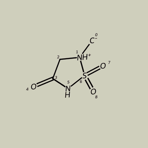 [CH2-][NH+]1CC(=O)NS1(=O)=O